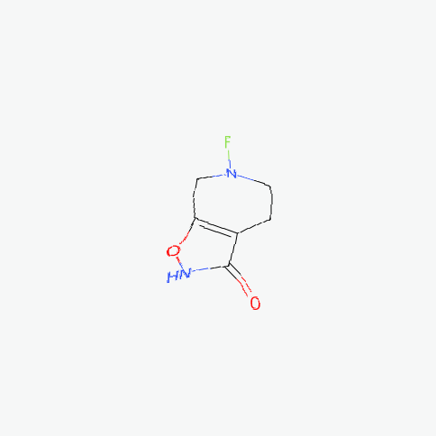 O=c1[nH]oc2c1CCN(F)C2